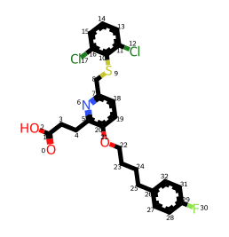 O=C(O)CCc1nc(CSc2c(Cl)cccc2Cl)ccc1OCCCCc1ccc(F)cc1